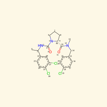 CC(NC(=O)N1CCC[C@@H]1C(=O)N(C)Cc1ccc(Cl)cc1)c1ccc(Cl)c(Cl)c1